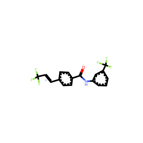 O=C(Nc1cccc(C(F)(F)F)c1)c1ccc(/C=C/C(F)(F)F)cc1